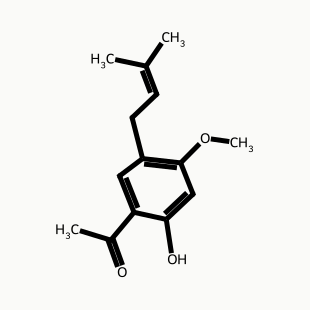 COc1cc(O)c(C(C)=O)cc1CC=C(C)C